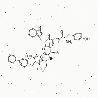 CCCC[C@H](NC(=O)[C@H](Cc1c[nH]c2ccccc12)NC(=O)CNC(=O)[C@@H](N)Cc1ccc(O)cc1)C(=O)N[C@@H](CC(=O)O)C(=O)N[C@@H](Cc1ccc(-c2ccccc2)cc1)C(N)=O